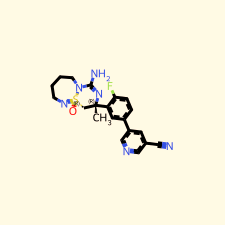 C[C@@]1(c2cc(-c3cncc(C#N)c3)ccc2F)C[S@]2(=O)=NCCCCN2C(N)=N1